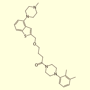 Cc1cccc(N2CCN(C(=O)CCCOCc3cc4c(N5CCN(C)CC5)cccc4s3)CC2)c1C